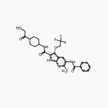 Cc1nc2[nH]c(C(=O)NC3CCN(C(=O)CO)CC3)c(OCC(F)(F)F)c2cc1NC(=O)c1ccccc1